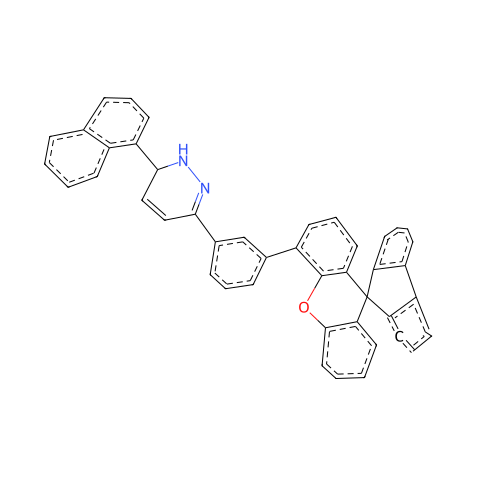 C1=CC(c2cccc3ccccc23)NN=C1c1cccc(-c2cccc3c2Oc2ccccc2C32c3ccccc3-c3ccccc32)c1